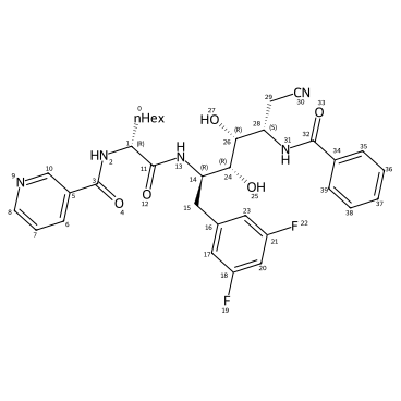 CCCCCC[C@@H](NC(=O)c1cccnc1)C(=O)N[C@H](Cc1cc(F)cc(F)c1)[C@@H](O)[C@H](O)[C@H](CC#N)NC(=O)c1ccccc1